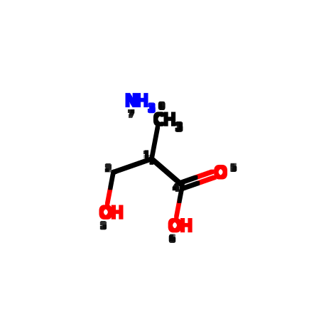 C[C](CO)C(=O)O.N